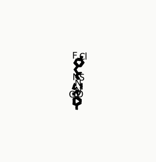 Cc1ccc(S(=O)(=O)N2CCN(c3nc(Cc4ccc(Cl)c(F)c4)cs3)CC2)cc1